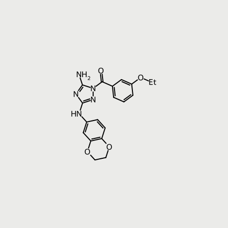 CCOc1cccc(C(=O)n2nc(Nc3ccc4c(c3)OCCO4)nc2N)c1